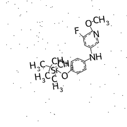 COc1ncc(Nc2ccc(O[Si](C)(C)C(C)(C)C)cc2)cc1F